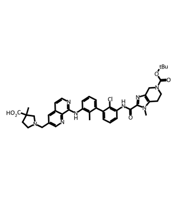 Cc1c(Nc2nccc3cc(CN4CCC(C)(C(=O)O)C4)cnc23)cccc1-c1cccc(NC(=O)c2nc3c(n2C)CCN(C(=O)OC(C)(C)C)C3)c1Cl